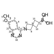 COc1ccc2c(N3CC4(CC(B(O)O)C4)C3)ncnc2c1